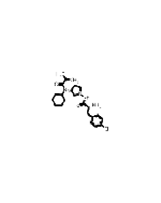 CC(C)C(=O)N(C1CCCCC1)[C@@H]1CCN(NC(=O)[C@H](N)Cc2ccc(Cl)cc2)C1